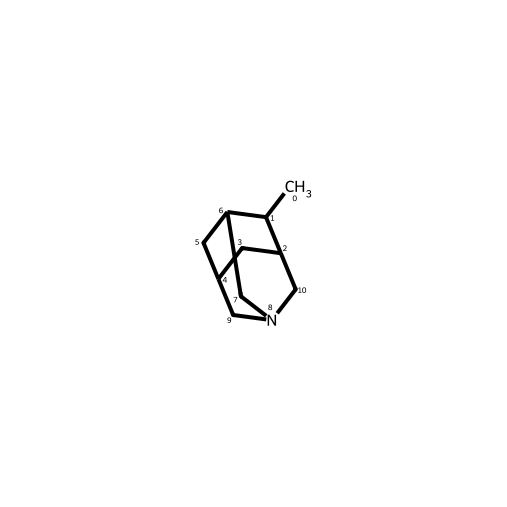 CC1C2CC3CC1CN(C3)C2